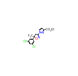 CCOC(=O)c1ccn(C2=NOC(c3cc(Cl)cc(Cl)c3)(C(F)(F)F)C2)n1